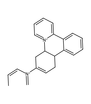 C=[N+](/C=C\C)C1=CCC2c3ccccc3-c3cccc[n+]3C2C1